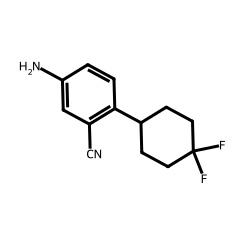 N#Cc1cc(N)ccc1C1CCC(F)(F)CC1